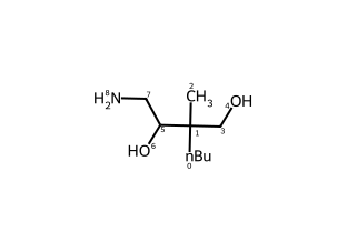 CCCCC(C)(CO)C(O)CN